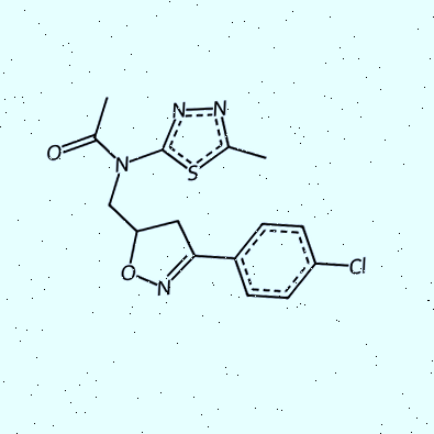 CC(=O)N(CC1CC(c2ccc(Cl)cc2)=NO1)c1nnc(C)s1